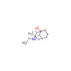 CSNC1(C)CC2CCCC(O)(C2)C1